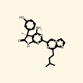 CC(C)CCc1nc(-c2nc(N)c3c(n2)NC(=O)[C@@]3(C)c2cccc(O)c2)cn2ccnc12